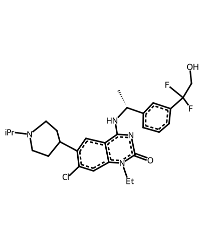 CCn1c(=O)nc(N[C@H](C)c2cccc(C(F)(F)CO)c2)c2cc(C3CCN(C(C)C)CC3)c(Cl)cc21